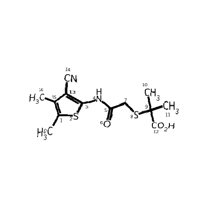 Cc1sc(NC(=O)CSC(C)(C)C(=O)O)c(C#N)c1C